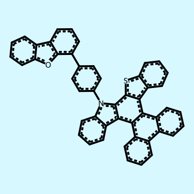 c1ccc2c(c1)oc1c(-c3ccc(-n4c5ccccc5c5c6c7ccccc7c7ccccc7c6c6c7ccccc7sc6c54)cc3)cccc12